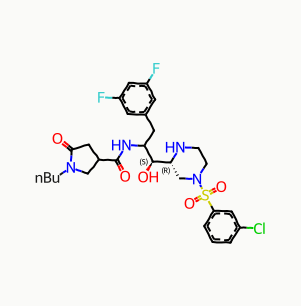 CCCCN1CC(C(=O)NC(Cc2cc(F)cc(F)c2)[C@H](O)[C@H]2CN(S(=O)(=O)c3cccc(Cl)c3)CCN2)CC1=O